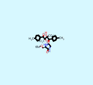 CC(C)(C)OC[C@H]1NCCNC1=O.Cc1ccc(C(=O)C(O)(C(=O)O)C(O)(C(=O)O)C(=O)c2ccc(C)cc2)cc1